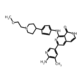 COCCN1CCC(c2ccc(Nc3nc(-c4cnc(N)c(C)c4)cc4cc[nH]c(=O)c34)cc2)CC1